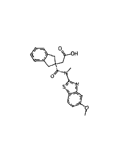 COc1ccc2sc(N(C)C(=O)C3(CC(=O)O)Cc4ccccc4C3)nc2c1